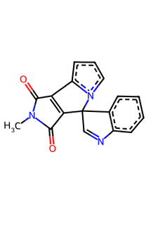 CN1C(=O)C2=C(C1=O)C1(C=Nc3ccccc31)n1cccc12